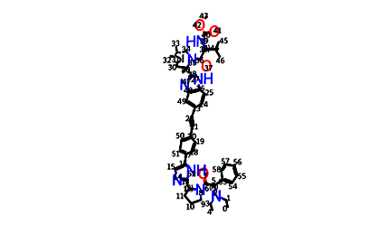 CCN(CC)[C@@H](C(=O)N1CCC[C@H]1c1ncc(-c2ccc(C#Cc3ccc4[nH]c([C@@H]5C[Si](C)(C)CN5C(=O)[C@@H](NC(=O)OC)C(C)C)nc4c3)cc2)[nH]1)c1ccccc1